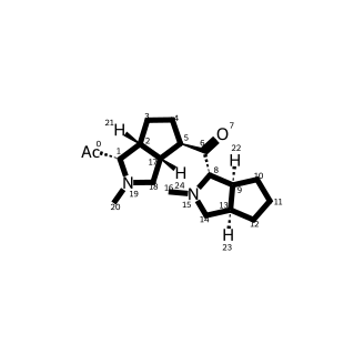 CC(=O)[C@@H]1[C@@H]2CC[C@@H](C(=O)[C@@H]3[C@H]4CCC[C@H]4CN3C)[C@@H]2CN1C